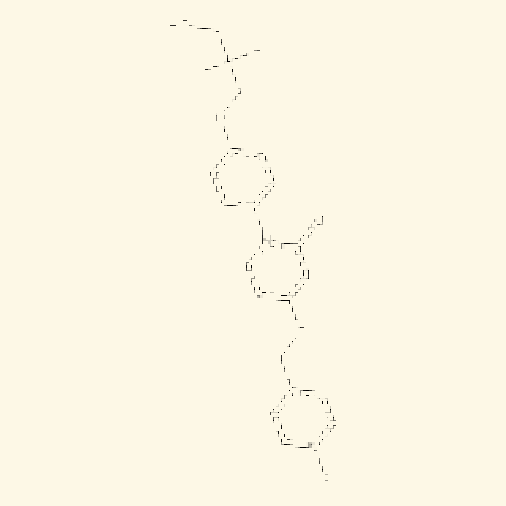 CC(C)(CO)COc1ccc(-n2ccc(OCc3ccc(F)cc3)cc2=O)cc1